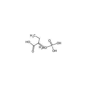 C=C(CC)C(=O)O.O=P(O)(O)O